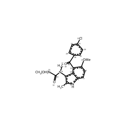 COc1ccc2[nH]c(C)c(N(C)C(=O)N(C)O)c2c1C(=O)c1ccc(Cl)cc1